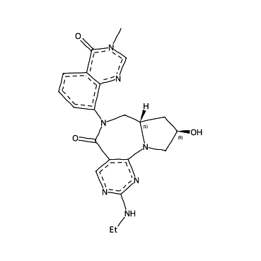 CCNc1ncc2c(n1)N1C[C@H](O)C[C@H]1CN(c1cccc3c(=O)n(C)cnc13)C2=O